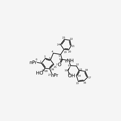 CCCc1cc(CC(C(=O)N[C@H](CO)Cc2ccccc2)c2ccccc2)cc(CCC)c1O